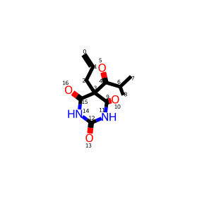 C=CCC1(C(=O)C(C)C)C(=O)NC(=O)NC1=O